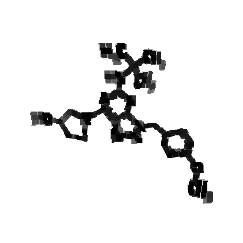 COc1ccc(Cn2nnc3c(N4CCC(O)C4)nc(NC(C)(C)C)nc32)cc1